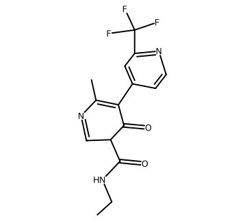 CCNC(=O)C1C=NC(C)=C(c2ccnc(C(F)(F)F)c2)C1=O